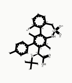 Cc1ccc(-c2c(C)c3c(c(C)c2[C@H](OC(C)(C)C)C(=O)O)NS(=O)(=O)Cc2cccc(F)c2-3)cc1